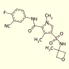 Cc1c(S(=O)(=O)NC2(C)COC2)cn(C)c1C(=O)Nc1ccc(F)c(C#N)c1